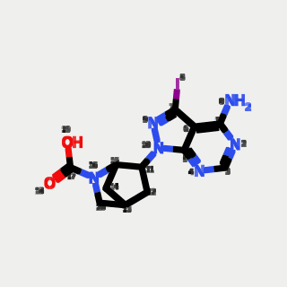 Nc1ncnc2c1c(I)nn2C1CC2CC1N(C(=O)O)C2